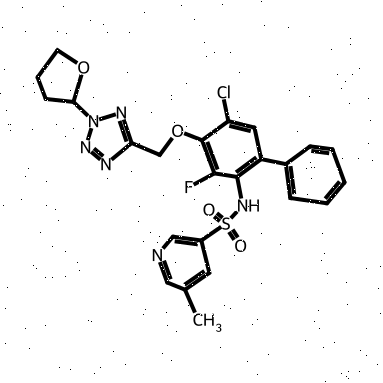 Cc1cncc(S(=O)(=O)Nc2c(-c3ccccc3)cc(Cl)c(OCc3nnn(C4CCCO4)n3)c2F)c1